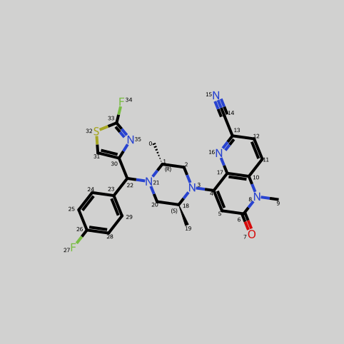 C[C@@H]1CN(c2cc(=O)n(C)c3ccc(C#N)nc23)[C@@H](C)CN1C(c1ccc(F)cc1)c1csc(F)n1